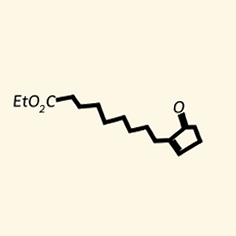 CCOC(=O)CCCCCCCCC1=CCCC1=O